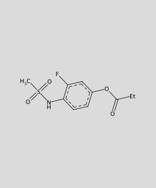 CCC(=O)Oc1ccc(NS(C)(=O)=O)c(F)c1